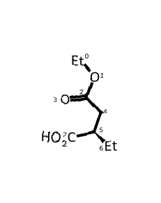 CCOC(=O)C[C@@H](CC)C(=O)O